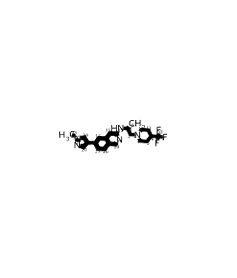 C=C(CN1CCC(C(F)(F)F)CC1)Nc1cc2cc(-c3cnn(C)c3)ccc2cn1